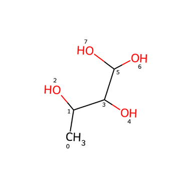 CC(O)C(O)C(O)O